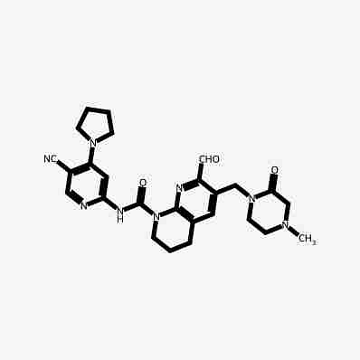 CN1CCN(Cc2cc3c(nc2C=O)N(C(=O)Nc2cc(N4CCCC4)c(C#N)cn2)CCC3)C(=O)C1